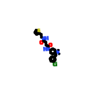 CN(C)C1(Cc2cccc(Cl)c2)CCC(NC(=O)CCC(=O)NCCc2cccs2)CC1